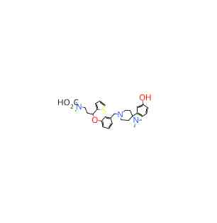 CN(CCC(Oc1cccc(CN2CCC(c3cccc(O)c3)(N(C)C)CC2)c1)c1cccs1)C(=O)O